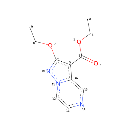 CCOC(=O)c1c(OCC)nn2ccncc12